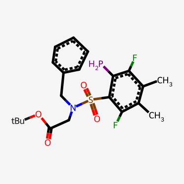 Cc1c(C)c(F)c(S(=O)(=O)N(CC(=O)OC(C)(C)C)Cc2ccccc2)c(P)c1F